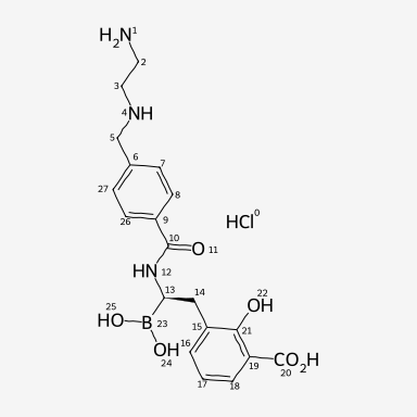 Cl.NCCNCc1ccc(C(=O)N[C@@H](Cc2cccc(C(=O)O)c2O)B(O)O)cc1